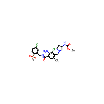 CCS(=O)(=O)c1ccc(Cl)cc1CNC(=O)c1cc(C(F)(F)F)c(CN2CCC(NC(=O)OC(C)(C)C)C2)c(Cl)c1N